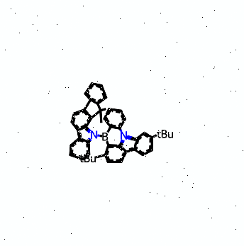 CC(C)(C)c1ccc2c3ccc(C(C)(C)C)c4c3n(c2c1)-c1ccccc1B4n1c2ccccc2c2ccc3c(c21)C(C)(C)c1ccccc1-3